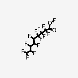 O=C(OF)C(F)(F)C(F)(F)C(F)(F)C(F)C(F)C(F)C(F)C(F)F